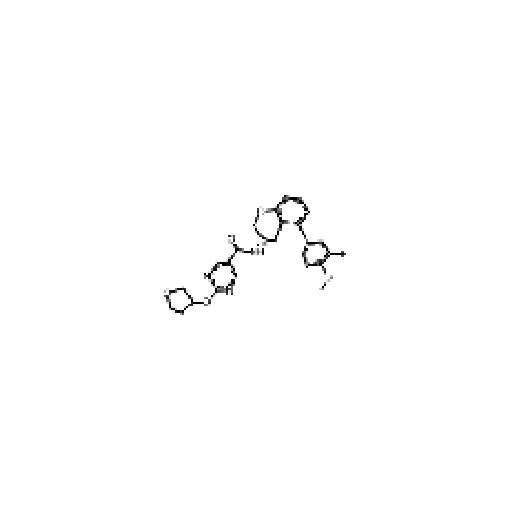 COc1ncc(-c2cccc3c2C[C@H](NC(=O)c2cnc(OC4CCOC4)nc2)CO3)cc1F